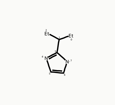 CCC(CC)C1=NC=C[N]1